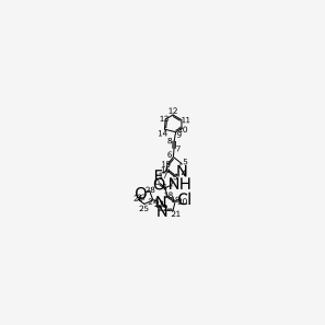 O=C(Nc1ncc(C#Cc2ccccc2)cc1F)c1c(Cl)cnn1C1CCOC1